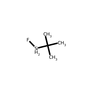 CC(C)(C)[SiH2]F